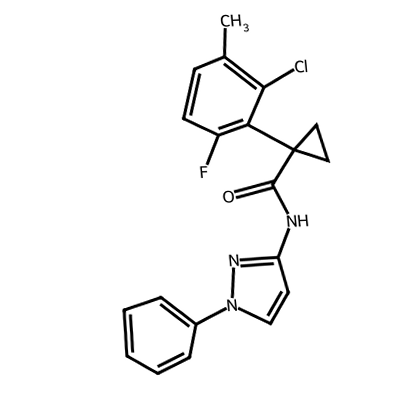 Cc1ccc(F)c(C2(C(=O)Nc3ccn(-c4ccccc4)n3)CC2)c1Cl